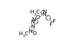 CCN1CCN(c2ccc(OCc3c(C)cnn3-c3ccc(C(F)F)cc3)nn2)CC1=O